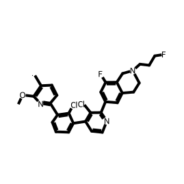 [CH2]c1ccc(-c2cccc(-c3ccnc(-c4cc(F)c5c(c4)CCN(CCCF)C5)c3Cl)c2Cl)nc1OC